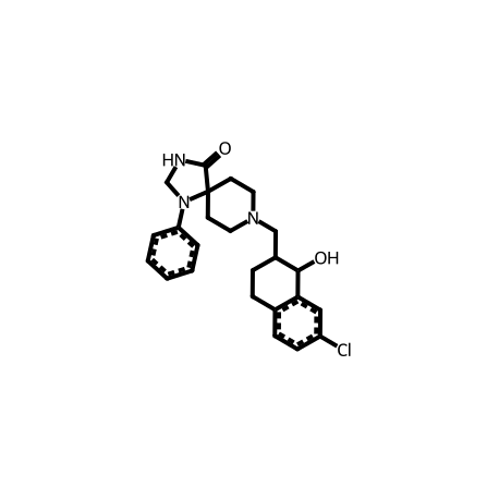 O=C1NCN(c2ccccc2)C12CCN(CC1CCc3ccc(Cl)cc3C1O)CC2